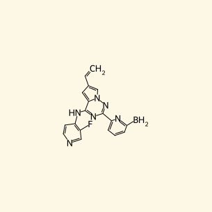 Bc1cccc(-c2nc(Nc3ccncc3F)c3cc(C=C)cn3n2)n1